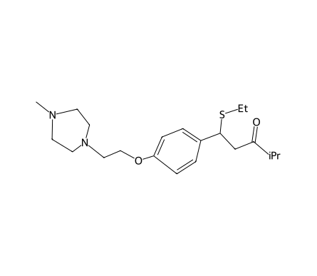 CCSC(CC(=O)C(C)C)c1ccc(OCCN2CCN(C)CC2)cc1